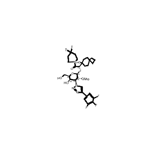 CO[C@@H]1[C@@H](n2cc(-c3cc(F)c(F)c(F)c3)nn2)[C@@H](O)[C@@H](CO)O[C@H]1S[C@H](C(=O)N1CCC(F)(F)CC1)C1(O)CCC2(CCC2)CC1